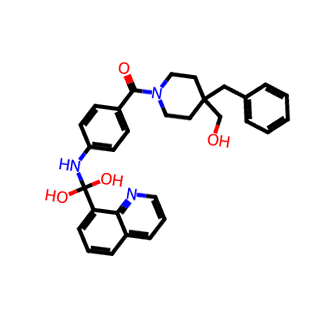 O=C(c1ccc(NC(O)(O)c2cccc3cccnc23)cc1)N1CCC(CO)(Cc2ccccc2)CC1